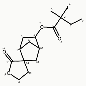 CCC(C)(I)C(=O)OC1CC2CC1CC21CCOC1=O